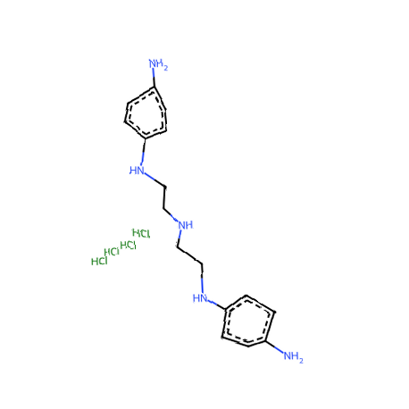 Cl.Cl.Cl.Cl.Nc1ccc(NCCNCCNc2ccc(N)cc2)cc1